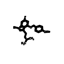 CCn1cc(CCN(C)C)c2c(OCc3ccc(OC)cc3)cc(F)cc21